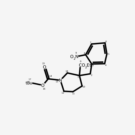 CCOC(=O)C1(Cc2ccccc2[N+](=O)[O-])CCCN(C(=O)OC(C)(C)C)C1